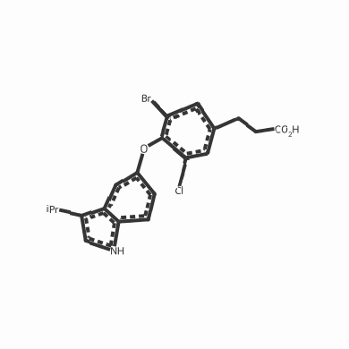 CC(C)c1c[nH]c2ccc(Oc3c(Cl)cc(CCC(=O)O)cc3Br)cc12